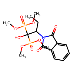 CCC(N1C(=O)c2ccccc2C1=O)C(O)(P(=O)(OC)OC)P(=O)(OC)OC